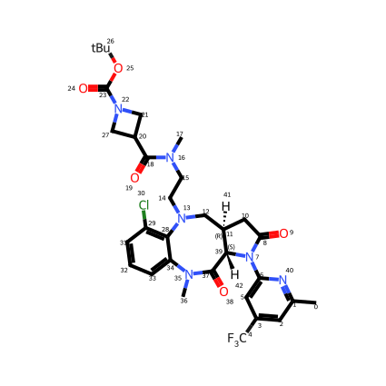 Cc1cc(C(F)(F)F)cc(N2C(=O)C[C@@H]3CN(CCN(C)C(=O)C4CN(C(=O)OC(C)(C)C)C4)c4c(Cl)cccc4N(C)C(=O)[C@H]32)n1